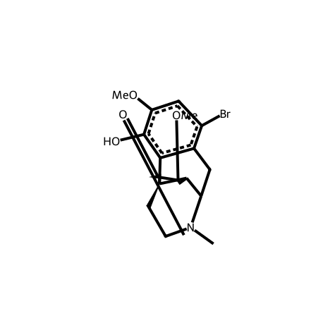 COc1cc(Br)c2c(c1O)[C@@]13CCN(C)C(C2)C1CC(OC)C(=O)C3